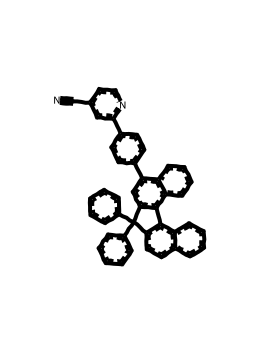 N#Cc1ccnc(-c2ccc(-c3cc4c(c5ccccc35)-c3c(ccc5ccccc35)C4(c3ccccc3)c3ccccc3)cc2)c1